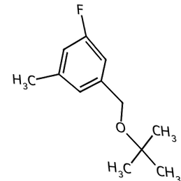 Cc1cc(F)cc(COC(C)(C)C)c1